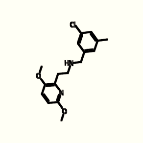 COc1ccc(OC)c(CCNCc2cc(C)cc(Cl)c2)n1